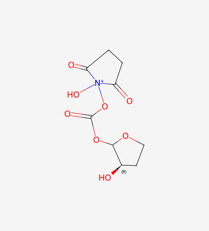 O=C(OC1OCC[C@H]1O)O[N+]1(O)C(=O)CCC1=O